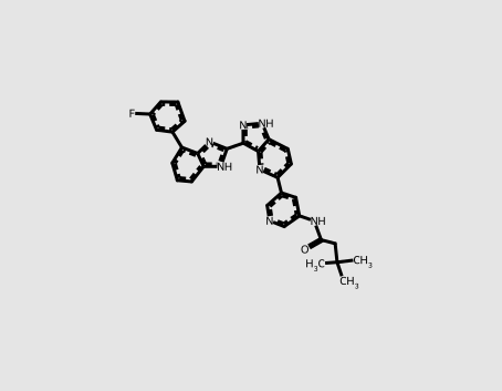 CC(C)(C)CC(=O)Nc1cncc(-c2ccc3[nH]nc(-c4nc5c(-c6cccc(F)c6)cccc5[nH]4)c3n2)c1